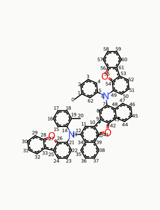 Cc1cccc(N(c2cc3c4cc(N(c5ccccc5C)c5cccc6c5oc5ccccc56)c5ccccc5c4oc3c3ccccc23)c2cccc3c2oc2ccccc23)c1